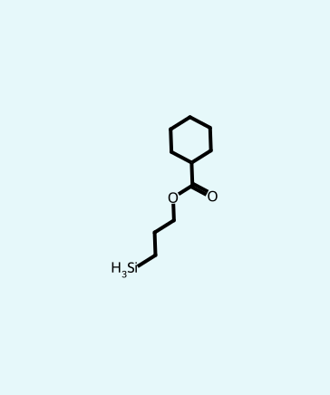 O=C(OCCC[SiH3])C1CCCCC1